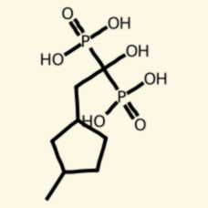 CC1CCC(CC(O)(P(=O)(O)O)P(=O)(O)O)C1